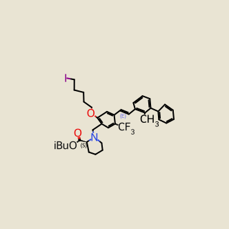 Cc1c(/C=C/c2cc(OCCCCCI)c(CN3CCCC[C@H]3C(=O)OCC(C)C)cc2C(F)(F)F)cccc1-c1ccccc1